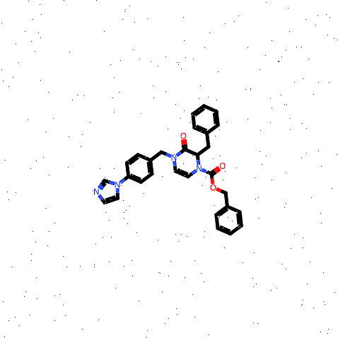 O=C1C(Cc2ccccc2)N(C(=O)OCc2ccccc2)C=CN1Cc1ccc(-n2ccnc2)cc1